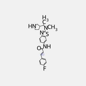 CC(C1CCNC1)N(C)c1nc2ccc(NC(=O)/C=C/c3ccc(F)cc3)cc2s1